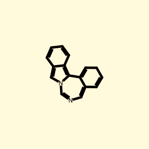 C1=CC2=CN=Cn3cc4ccccc4c3C2=CC1